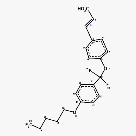 O=C(O)/C=C/c1ccc(OC(F)(F)c2ccc(OCCCCC(F)(F)F)cc2)cc1